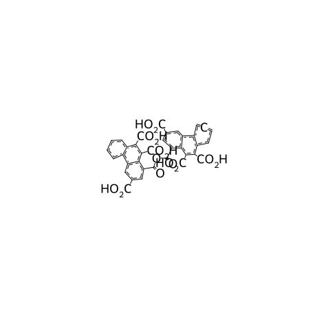 O=C(O)c1cc(C(=O)OC(=O)c2cc(C(=O)O)cc3c2c(C(=O)O)c(C(=O)O)c2ccccc23)c2c(C(=O)O)c(C(=O)O)c3ccccc3c2c1